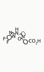 O=C(O)c1cccc(C(=O)N2CCCC[C@H]2CNc2cnc3cc(F)c(F)cc3n2)c1